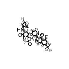 CC(=O)OCc1c(-c2cc(Nc3cc(C)on3)c(=O)n(C)c2)ccnc1-n1ncc2cc(C(C)(C)C)cc(F)c2c1=O